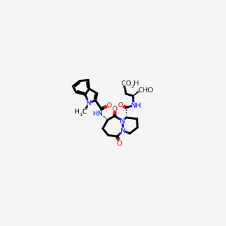 Cn1c(C(=O)N[C@H]2CCC(=O)N3CCC[C@@H](C(=O)N[C@H](C=O)CC(=O)O)N3C2=O)cc2ccccc21